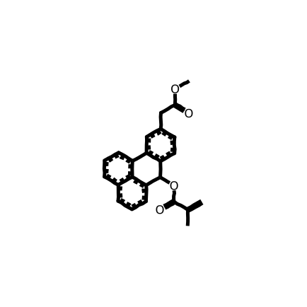 C=C(C)C(=O)OC1c2ccc(CC(=O)OC)cc2-c2cccc3cccc1c23